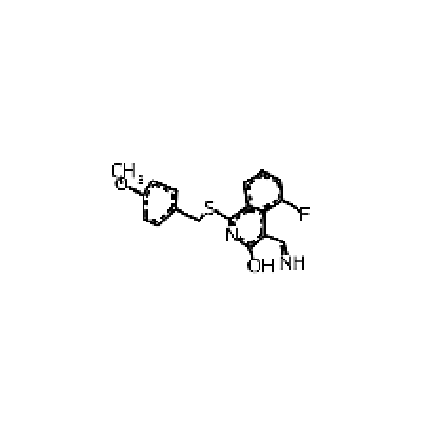 COc1ccc(CSc2nc(O)c(C=N)c3c(F)cccc23)cc1